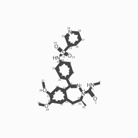 CNC(=O)N1N=C(c2ccc(NS(=O)(=O)c3cccnc3)cc2)c2cc(OC)c(OC)cc2C[C@@H]1C